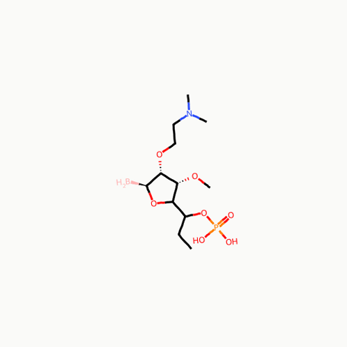 B[C@@H]1OC(C(CC)OP(=O)(O)O)[C@@H](OC)[C@H]1OCCN(C)C